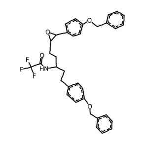 O=C(NC(CCc1ccc(OCc2ccccc2)cc1)CCC1OC1c1ccc(OCc2ccccc2)cc1)C(F)(F)F